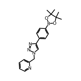 CC1(C)OB(c2ccc(-c3cn(Cc4ccccn4)nn3)cc2)OC1(C)C